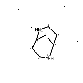 C1CC2CC(CCN2)N1